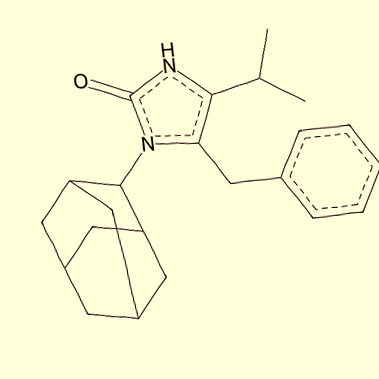 CC(C)c1[nH]c(=O)n(C2C3CC4CC(C3)CC2C4)c1Cc1ccccc1